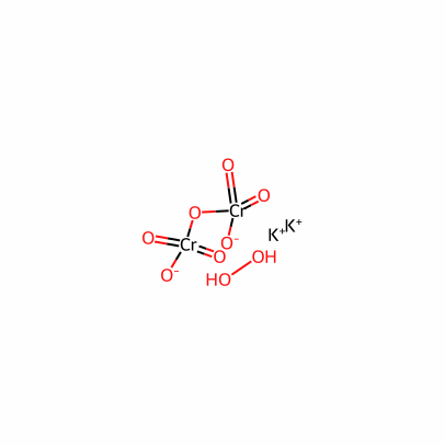 OO.[K+].[K+].[O]=[Cr](=[O])([O-])[O][Cr](=[O])(=[O])[O-]